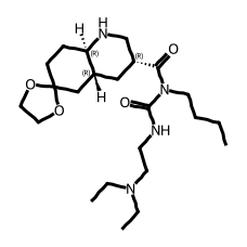 CCCCN(C(=O)NCCN(CC)CC)C(=O)[C@H]1CN[C@@H]2CCC3(C[C@H]2C1)OCCO3